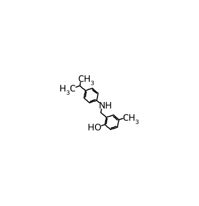 Cc1ccc(O)c(CNc2ccc(C(C)C)cc2)c1